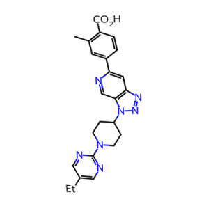 CCc1cnc(N2CCC(n3nnc4cc(-c5ccc(C(=O)O)c(C)c5)ncc43)CC2)nc1